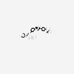 Cl.Cl.NC(=O)Nc1ccc(-c2cn3c(n2)sc2ccc(OCCN4CCOCC4)cc23)cc1